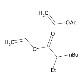 C=COC(=O)C(CC)CCCC.C=COC(C)=O